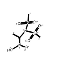 CC(C)N(O)C(C)N(S(C)(=O)=O)S(C)(=O)=O